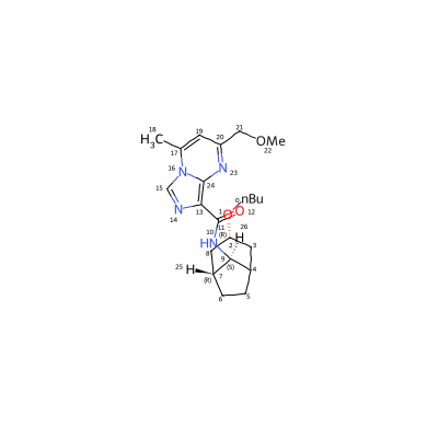 CCCCO[C@@H]1CC2CC[C@H](C1)[C@H]2NC(=O)c1ncn2c(C)cc(COC)nc12